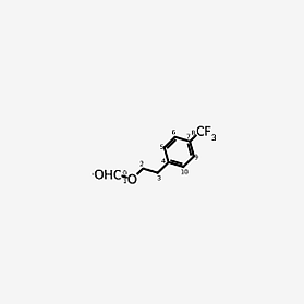 O=[C]OCCc1ccc(C(F)(F)F)cc1